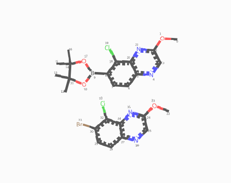 COc1cnc2ccc(B3OC(C)(C)C(C)(C)O3)c(Cl)c2n1.COc1cnc2ccc(Br)c(Cl)c2n1